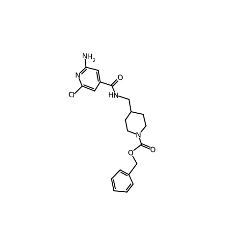 Nc1cc(C(=O)NCC2CCN(C(=O)OCc3ccccc3)CC2)cc(Cl)n1